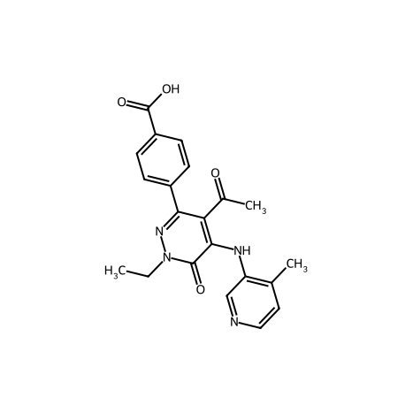 CCn1nc(-c2ccc(C(=O)O)cc2)c(C(C)=O)c(Nc2cnccc2C)c1=O